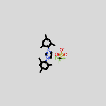 Cc1cc(C)c(-n2cc[n+](-c3c(C)cc(C)cc3C)c2)c(C)c1.O=S(=O)([O-])C(F)(F)F